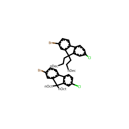 CCCCCCCCC1(CCCCCCCC)c2cc(Cl)ccc2-c2ccc(Br)cc21.CCCCCCCCCCCCC1(CCCCCCCCCCCC)c2cc(Cl)ccc2-c2ccc(Br)cc21